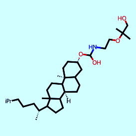 CC(C)CCC[C@@H](C)C1CCC2[C@@H]3CCC4C[C@@H](OC(O)NCCOC(C)(C)CO)CC[C@]4(C)C3CCC21C